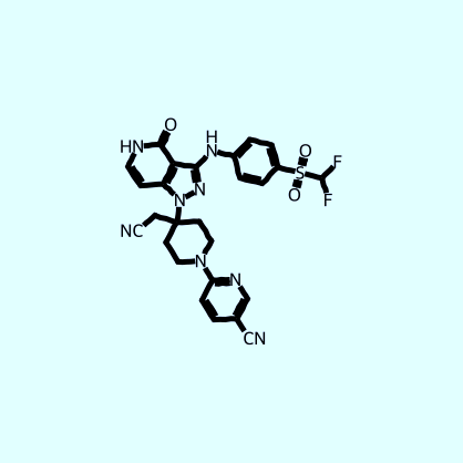 N#CCC1(n2nc(Nc3ccc(S(=O)(=O)C(F)F)cc3)c3c(=O)[nH]ccc32)CCN(c2ccc(C#N)cn2)CC1